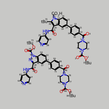 CC(C)(C)OC(=O)N1CCN(C(=O)c2ccc(-c3ccc4c(c3)c(C(=O)Nc3ccncc3)c(C(C)(C)C)n4C(=O)O)cc2)CC1.CC(C)(C)OC(=O)N1CCN(C(=O)c2ccc(-c3ccc4c(c3)c(C(=O)Nc3ccncc3)nn4C(=O)OC(C)(C)C)cc2)CC1